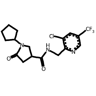 O=C(NCc1ncc(C(F)(F)F)cc1Cl)C1CC(=O)N(C2CCCC2)C1